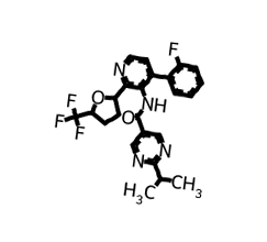 CC(C)c1ncc(C(=O)Nc2c(-c3ccccc3F)ccnc2C2CCC(C(F)(F)F)O2)cn1